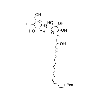 CCCCC/C=C\C/C=C\CCCCCCCCOC[C@@H](O)CO[C@@H]1O[C@H](CO[C@H]2O[C@H](CO)[C@H](O)[C@H](O)[C@H]2O)[C@H](O)[C@H](O)[C@H]1O